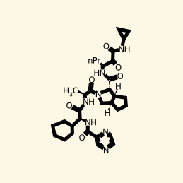 CCC[C@H](NC(=O)[C@@H]1[C@H]2CCC[C@H]2CN1C(=O)[C@H](C)NC(=O)[C@@H](NC(=O)c1cnccn1)C1CCCCC1)C(=O)C(=O)NC1CC1